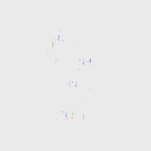 O=C(Nc1ccc([N+](=O)[O-])c(C(F)(F)F)c1)C(Cc1ccccc1)C(=O)Nc1ccc([N+](=O)[O-])c(C(F)(F)F)c1